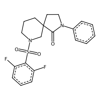 O=C1N(c2ccccc2)CCC12CCCN(S(=O)(=O)c1c(F)cccc1F)C2